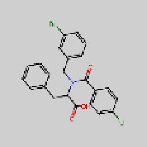 O=C(O)C(Cc1ccccc1)N(Cc1cccc(Br)c1)C(=O)c1ccc(Cl)cc1